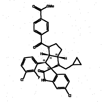 COC(=O)c1ccc(C(=O)N2CC[C@H]3[C@@H]2[C@H](c2cccc(Cl)c2F)[C@]2(C(=O)Nc4cc(Cl)ccc42)N3CC2CC2)cc1